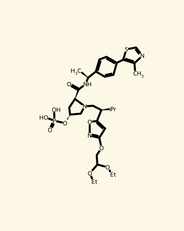 CCOC(COc1cc([C@@H](CN2C[C@H](OP(=O)(O)O)C[C@H]2C(=O)N[C@@H](C)c2ccc(-c3scnc3C)cc2)C(C)C)on1)OCC